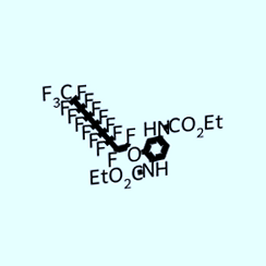 CCOC(=O)Nc1ccc(NC(=O)OCC)c(OC(F)=C(F)C(F)(F)C(F)(F)C(F)(F)C(F)(F)C(F)(F)C(F)(F)C(F)(F)F)c1